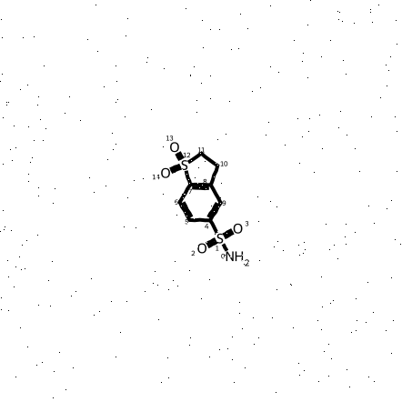 NS(=O)(=O)c1ccc2c(c1)CCS2(=O)=O